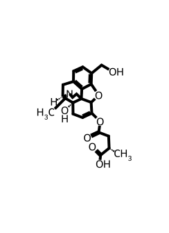 C[C@@H](CC(=O)OC1=CC[C@@]2(O)[C@H]3Cc4ccc(CO)c5c4C2(CCN3C)C1O5)C(=O)O